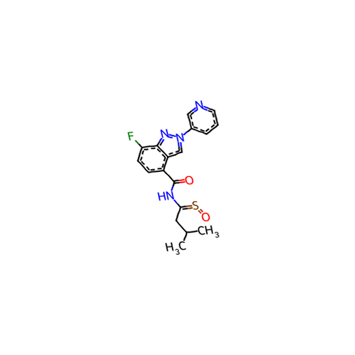 CC(C)CC(NC(=O)c1ccc(F)c2nn(-c3cccnc3)cc12)=S=O